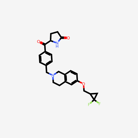 O=C1CCC(C(=O)c2ccc(CN3CCc4cc(OCC5CC5(F)F)ccc4C3)cc2)N1